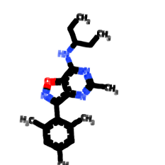 CCC(CC)Nc1nc(C)nc2c(-c3c(C)cc(C)cc3C)noc12